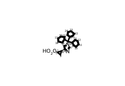 O=C(O)[C@H]1C[C@@H]1c1cn(C(c2ccccc2)(c2ccccc2)c2ccccc2)cn1